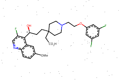 COc1ccc2ncc(F)c([C@@H](O)CCC3(CC(=O)O)CCN(CCOc4cc(F)cc(F)c4)CC3)c2c1